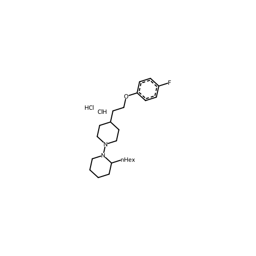 CCCCCCC1CCCCN1N1CCC(CCOc2ccc(F)cc2)CC1.Cl.Cl